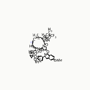 COc1ccc2c(O[C@@H]3C[C@H]4C(=O)N[C@]5(C(=O)NS(=O)(=O)C6(C)CC6)C[C@H]5/C=C\CC[C@H](C)C[C@@H](C)[C@H](NC(=O)OC(C)(C)C(F)(F)F)C(=O)N4C3)nc(-c3ccc(OC(C)C)nc3)cc2c1